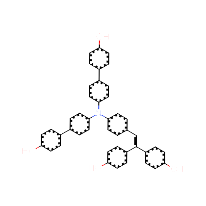 Oc1ccc(C(=Cc2ccc(N(c3ccc(-c4ccc(O)cc4)cc3)c3ccc(-c4ccc(O)cc4)cc3)cc2)c2ccc(O)cc2)cc1